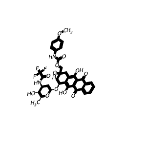 COc1ccc(NC(=O)OCC2(O)Cc3c(O)c4c(c(O)c3[C@@H](O[C@H]3C[C@H](NC(=O)C(F)(F)F)[C@@H](O)[C@@H](C)O3)C2)C(=O)c2ccccc2C4=O)cc1